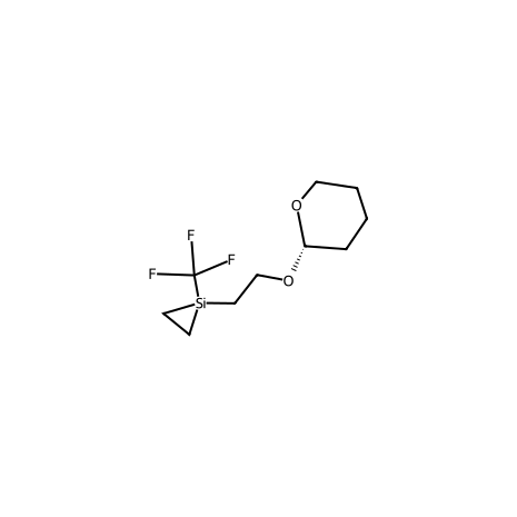 FC(F)(F)[Si]1(CCO[C@H]2CCCCO2)CC1